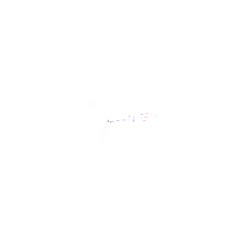 O=C(O)[N+]#[O+]